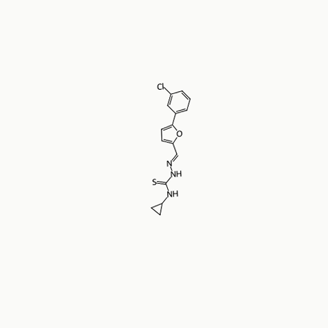 S=C(NN=Cc1ccc(-c2cccc(Cl)c2)o1)NC1CC1